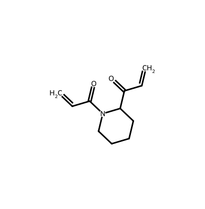 C=CC(=O)C1CCCCN1C(=O)C=C